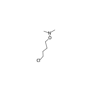 CN(C)OCCCCCl